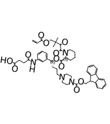 C=CC(=O)OCC(C)(C)C(=O)C(=O)N1CCCC[C@H]1C(=O)O[C@H](CCCN1CCN(C(=O)OCC2c3ccccc3-c3ccccc32)CC1)c1cccc(NC(=O)CCC(=O)O)c1